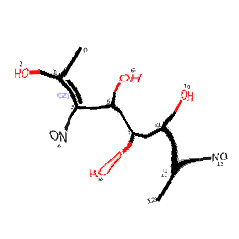 C/C(O)=C(/N=O)C(O)C(O)C(O)C(C)N=O